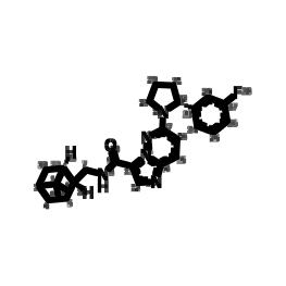 CC1(C)C2CC[C@@H](CNC(=O)c3cnc4ccc(N5CCC[C@@H]5c5cccc(F)c5)nn34)[C@@H]1C2